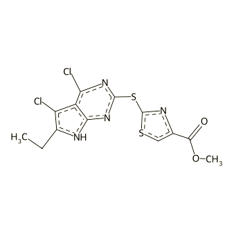 CCc1[nH]c2nc(Sc3nc(C(=O)OC)cs3)nc(Cl)c2c1Cl